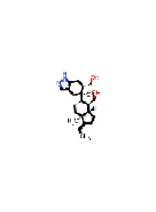 C/C=C1\CC[C@H]2[C@H](CO)[C@@H]([C@@]3(C)Cc4cn[nH]c4C[C@@H]3CO)CC[C@]12C